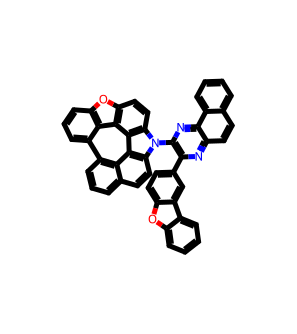 c1ccc2c(c1)ccc1nc(-c3ccc4oc5ccccc5c4c3)c(-n3c4ccc5cccc6c5c4c4c5c(ccc43)oc3cccc-6c35)nc12